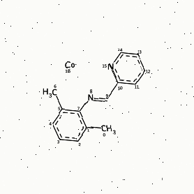 Cc1cccc(C)c1N=Cc1ccccn1.[Co]